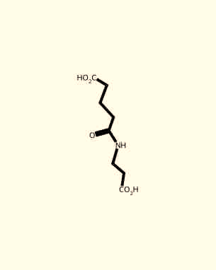 O=C(O)CCCC(=O)NCCC(=O)O